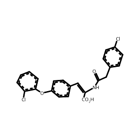 O=C(Cc1ccc(Cl)cc1)NC(=Cc1ccc(Oc2ccccc2Cl)cc1)C(=O)O